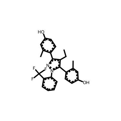 CCc1c(-c2ccc(O)cc2C)nn(-c2ccccc2C(F)(F)F)c1-c1ccc(O)cc1C